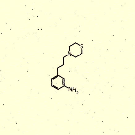 Nc1cccc(CCCN2CCSCC2)c1